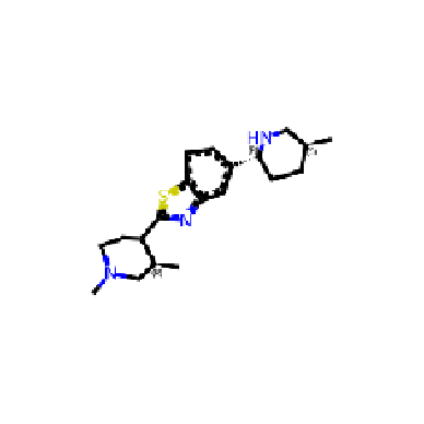 C[C@H]1CC[C@H](c2ccc3sc(C4CCN(C)C[C@@H]4C)nc3c2)NC1